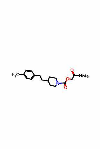 CNC(=O)COC(=O)N1CCC(CCc2ccc(C(F)(F)F)cc2)CC1